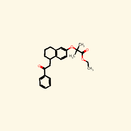 CCOC(=O)C(C)(C)Oc1ccc2c(c1)CCCC2CC(=O)c1ccccc1